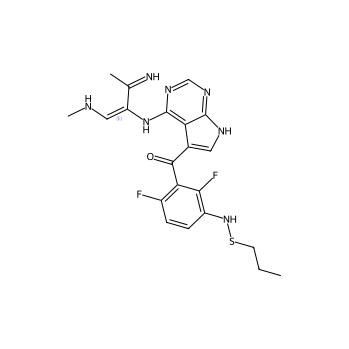 CCCSNc1ccc(F)c(C(=O)c2c[nH]c3ncnc(N/C(=C/NC)C(C)=N)c23)c1F